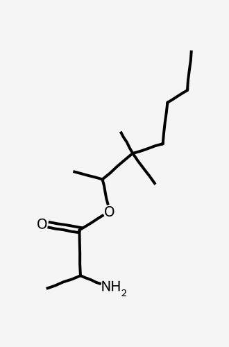 CCCCC(C)(C)C(C)OC(=O)C(C)N